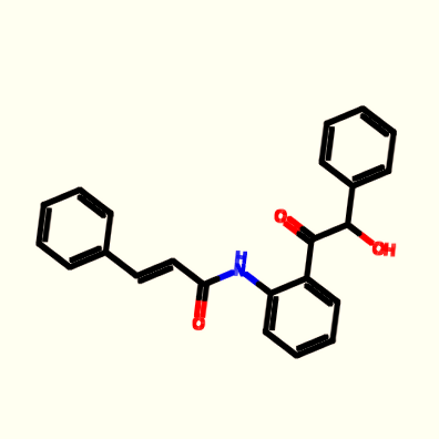 O=C(C=Cc1ccccc1)Nc1ccccc1C(=O)C(O)c1ccccc1